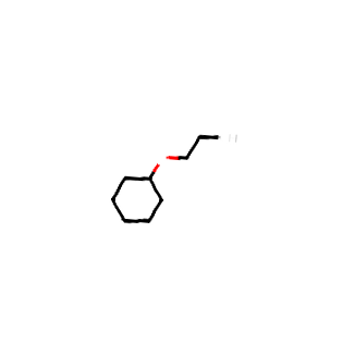 CCCO[C]1CC[CH]CC1